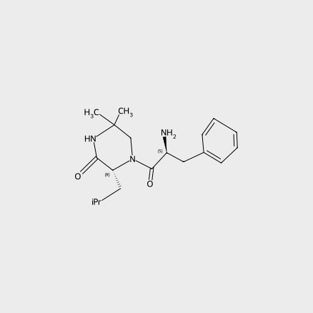 CC(C)C[C@@H]1C(=O)NC(C)(C)CN1C(=O)[C@@H](N)Cc1ccccc1